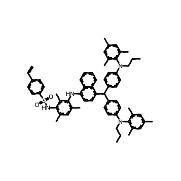 C=Cc1ccc(S(=O)(=O)Nc2c(C)cc(C)c(Nc3ccc(C(c4ccc(N(CCC)c5c(C)cc(C)cc5C)cc4)c4ccc(N(CCC)c5c(C)cc(C)cc5C)cc4)c4ccccc34)c2C)cc1